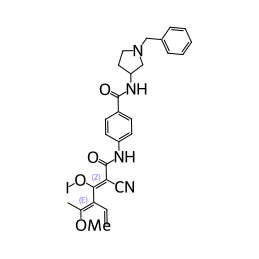 C=CC(/C(OI)=C(\C#N)C(=O)Nc1ccc(C(=O)NC2CCN(Cc3ccccc3)C2)cc1)=C(/C)OC